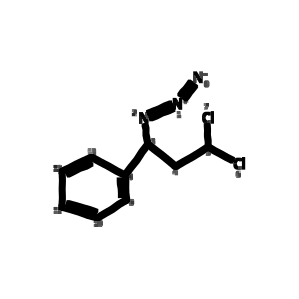 [N-]=[N+]=NC(CC(Cl)Cl)c1ccccc1